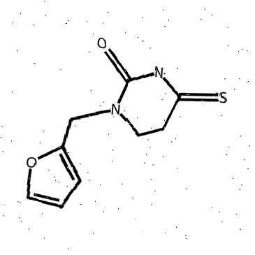 O=C1[N]C(=S)CCN1Cc1ccco1